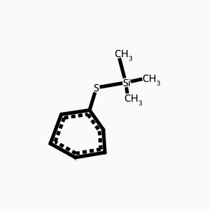 C[Si](C)(C)Sc1cc[c]cc1